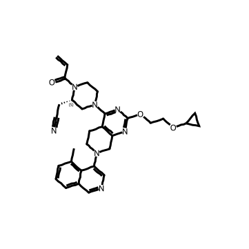 C=CC(=O)N1CCN(c2nc(OCCOC3CC3)nc3c2CCN(c2cncc4cccc(C)c24)C3)C[C@@H]1CC#N